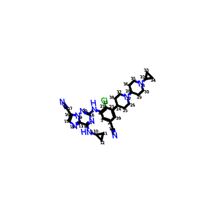 N#Cc1cc(Nc2nc(NC3CC3)c3ncc(C#N)n3n2)c(Cl)c(C2CCN(C3CCN(C4CC4)CC3)CC2)c1